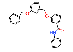 O=C(Nc1cc[c]cc1)c1cccc(OCc2cccc(OCc3ccccc3)c2)c1